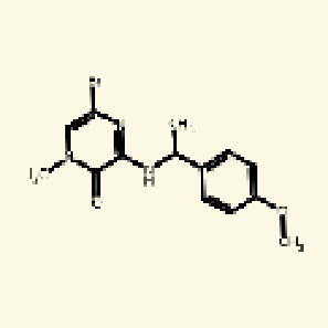 COc1ccc([C@H](C)Nc2nc(Br)cn(C)c2=O)cc1